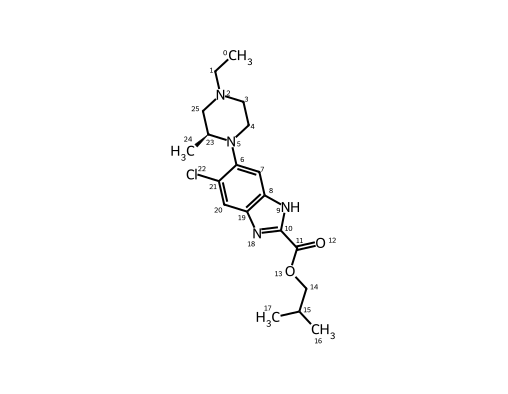 CCN1CCN(c2cc3[nH]c(C(=O)OCC(C)C)nc3cc2Cl)[C@@H](C)C1